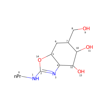 CCCNC1=NC2C(CC(CO)C(O)C2O)O1